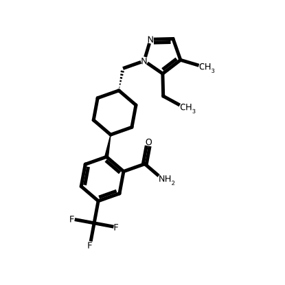 CCc1c(C)cnn1C[C@H]1CC[C@H](c2ccc(C(F)(F)F)cc2C(N)=O)CC1